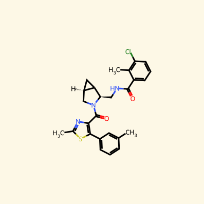 Cc1cccc(-c2sc(C)nc2C(=O)N2C[C@H]3CC3[C@H]2CNC(=O)c2cccc(Cl)c2C)c1